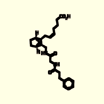 O=C(O)CCC/C=C\C[C@H]1[C@@H](CNC(=O)CNC(=O)CCc2ccccc2)[C@H]2CC[C@@H]1S2